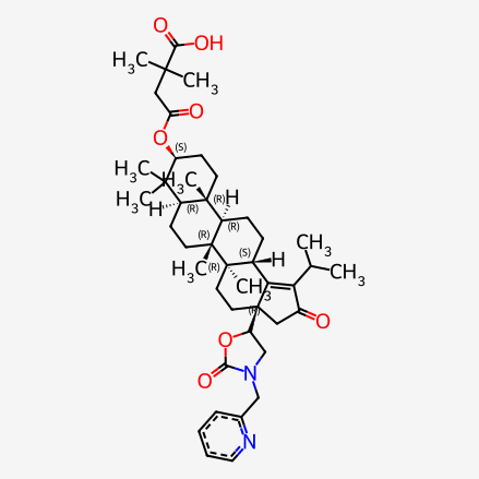 CC(C)C1=C2[C@H]3CC[C@@H]4[C@@]5(C)CC[C@H](OC(=O)CC(C)(C)C(=O)O)C(C)(C)[C@@H]5CC[C@@]4(C)[C@]3(C)CC[C@@]2(C2CN(Cc3ccccn3)C(=O)O2)CC1=O